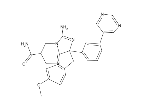 COc1ccc(CC2(c3cccc(-c4cncnc4)c3)N=C(N)N3CC(C(N)=O)CN=C32)cc1